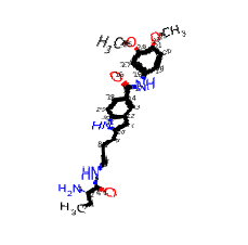 CC[C@H](N)C(=O)NCCCc1cc2cc(C(=O)Nc3ccc(OC)c(OC)c3)ccc2[nH]1